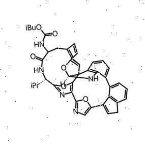 CC(C)COC(=O)NC1Cc2ccc3c(c2)C24c5cccc(c5N[C@H]2O3)-c2cccc3c2C(=CC3)c2cnc(o2)-c2nc(oc24)[C@H](C(C)C)NC1=O